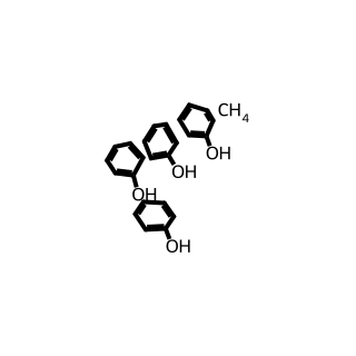 C.Oc1ccccc1.Oc1ccccc1.Oc1ccccc1.Oc1ccccc1